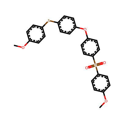 COc1ccc(Sc2ccc(Oc3ccc(S(=O)(=O)c4ccc(OC)cc4)cc3)cc2)cc1